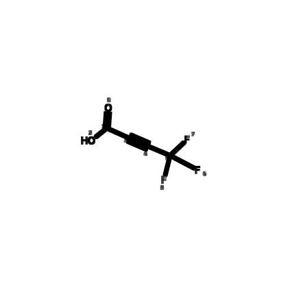 O=C(O)C#CC(F)(F)F